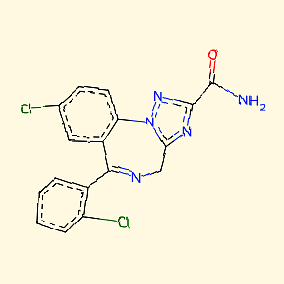 NC(=O)c1nc2n(n1)-c1ccc(Cl)cc1C(c1ccccc1Cl)=NC2